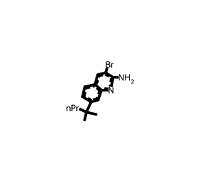 CCCC(C)(C)c1ccc2cc(Br)c(N)nc2c1